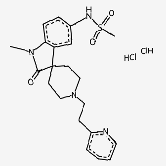 CN1C(=O)C2(CCN(CCc3ccccn3)CC2)c2cc(NS(C)(=O)=O)ccc21.Cl.Cl